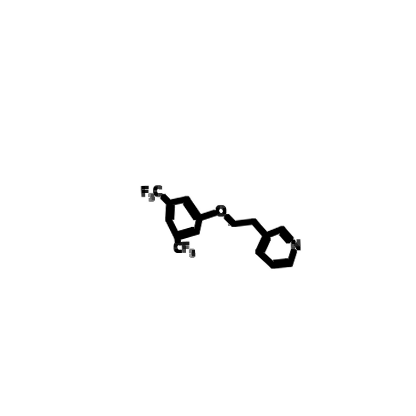 FC(F)(F)c1cc(O[CH]Cc2cccnc2)cc(C(F)(F)F)c1